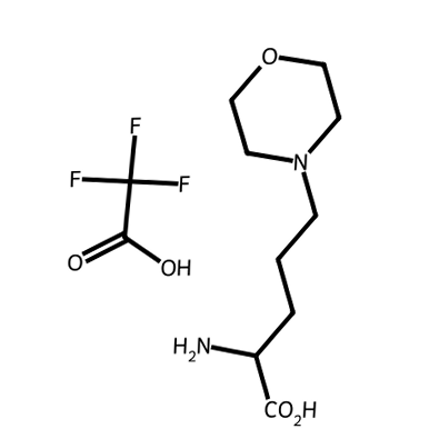 NC(CCCN1CCOCC1)C(=O)O.O=C(O)C(F)(F)F